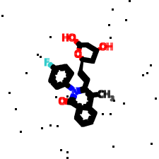 Cc1c(/C=C/[C@@H]2C[C@@H](O)CC(O)O2)n(-c2ccc(F)cc2)c(=O)c2ccccc12